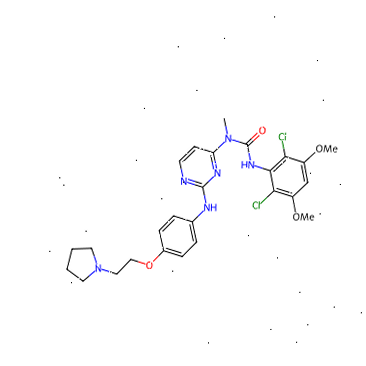 COc1cc(OC)c(Cl)c(NC(=O)N(C)c2ccnc(Nc3ccc(OCCN4CCCC4)cc3)n2)c1Cl